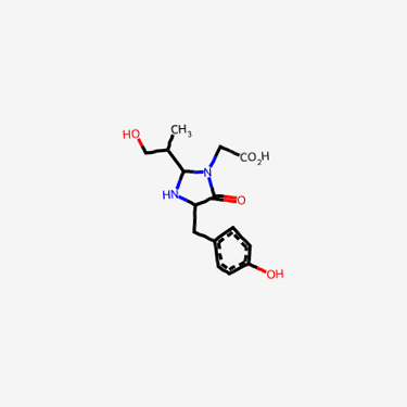 CC(CO)C1NC(Cc2ccc(O)cc2)C(=O)N1CC(=O)O